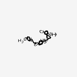 CN1CCN(CCCOc2ccc(SNCC3CCc4[nH]c5ccc(Cl)cc5c4C3)cc2)CC1